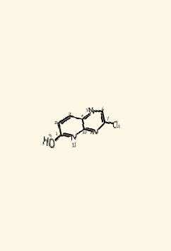 Oc1ccc2ncc(Cl)nc2n1